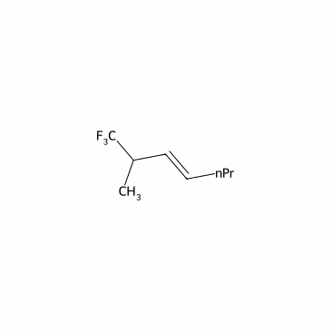 CCC/C=C/C(C)C(F)(F)F